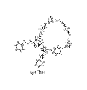 N=C(N)c1ccc(CNC(=O)[C@@H]2Cc3ccc(cc3)NC(=O)CCN3CCN(CCC(=O)Nc4ccc(cc4)C[C@@H](NC(=O)CCCc4ccccc4)C(=O)N2)CC3)cc1